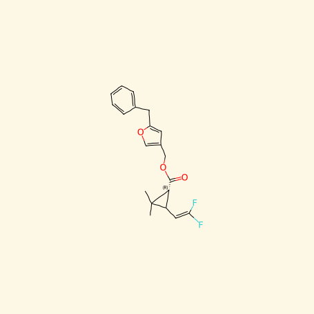 CC1(C)C(C=C(F)F)[C@H]1C(=O)OCc1coc(Cc2ccccc2)c1